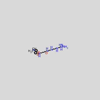 CN(C)c1cccc2c(S(=O)(=O)NCCCCCC(=O)NCCCNCCCCNCCCNC(=N)N)cccc12